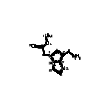 CC(C)(C)OC(=O)Cn1cc(CN)c2nccn21